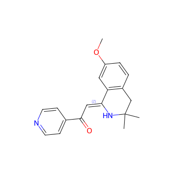 COc1ccc2c(c1)/C(=C/C(=O)c1ccncc1)NC(C)(C)C2